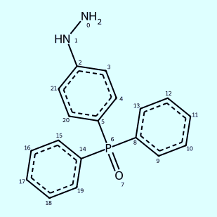 NNc1ccc(P(=O)(c2ccccc2)c2ccccc2)cc1